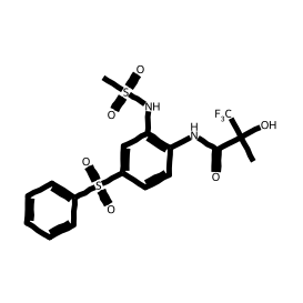 CC(O)(C(=O)Nc1ccc(S(=O)(=O)c2ccccc2)cc1NS(C)(=O)=O)C(F)(F)F